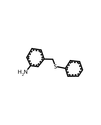 Nc1cccc(CSc2ccccc2)c1